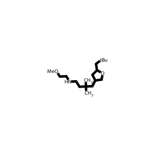 COCCNCCC(C)(C)CC1COC(CC(C)(C)C)C1